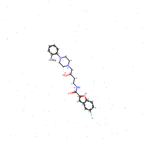 COc1ccccc1N1CCN(CC(O)CCNC(=O)c2cc3cc(F)ccc3o2)CC1